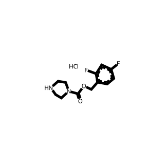 Cl.O=C(OCc1ccc(F)cc1F)N1CCNCC1